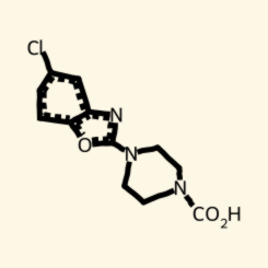 O=C(O)N1CCN(c2nc3cc(Cl)ccc3o2)CC1